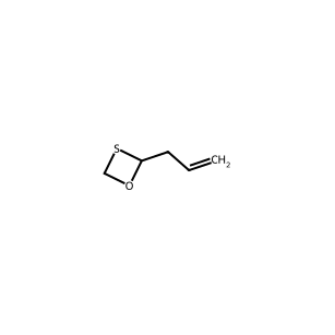 C=CCC1OCS1